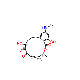 CCNc1cc(O)c2c(c1)CCC[C@H](O)[C@H](O)C(=O)/C=C\[C@@H](C)[C@H](C)OC2=O